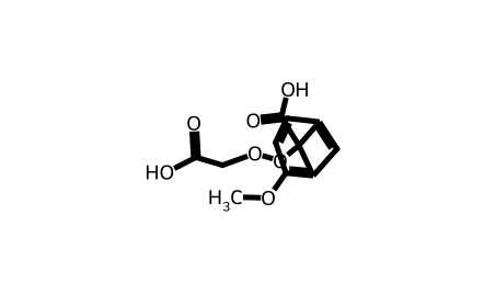 COc1ccc2cc1C2(OOCC(=O)O)C(=O)O